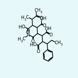 CCC(c1ccccc1)C(C(=O)O)C(C(=O)O)C(C(=O)NC)C(C(=O)O)C(C(=O)O)C(C)C(C)=O